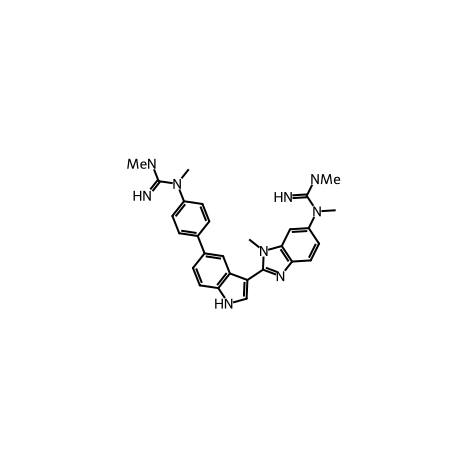 CNC(=N)N(C)c1ccc(-c2ccc3[nH]cc(-c4nc5ccc(N(C)C(=N)NC)cc5n4C)c3c2)cc1